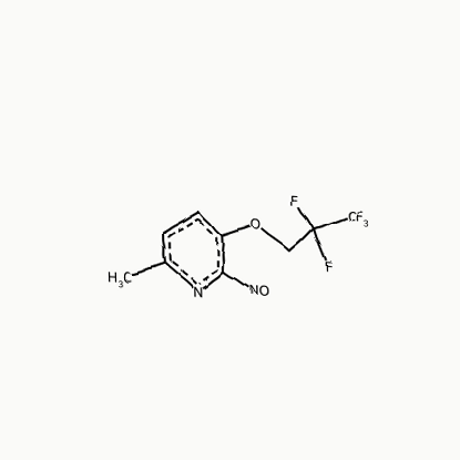 Cc1ccc(OCC(F)(F)C(F)(F)F)c(N=O)n1